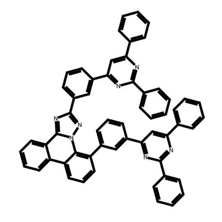 c1ccc(-c2cc(-c3cccc(-c4nc5c6ccccc6c6cccc(-c7cccc(-c8cc(-c9ccccc9)nc(-c9ccccc9)n8)c7)c6n5n4)c3)nc(-c3ccccc3)n2)cc1